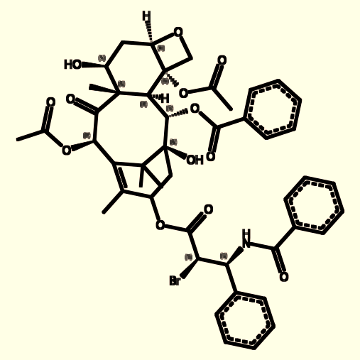 CC(=O)O[C@H]1C(=O)[C@@]2(C)[C@H]([C@H](OC(=O)c3ccccc3)[C@]3(O)CC(OC(=O)[C@H](Br)[C@@H](NC(=O)c4ccccc4)c4ccccc4)C(C)=C1C3(C)C)[C@]1(OC(C)=O)CO[C@@H]1C[C@@H]2O